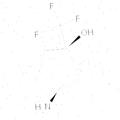 N[C@H]1CC[C@](O)(C(F)(F)F)CC1